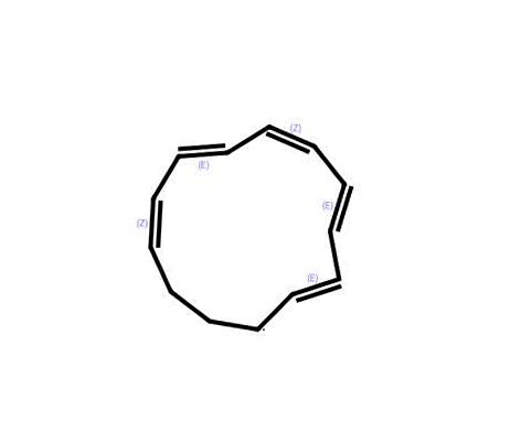 [CH]1/C=C/C=C/C=C\C=C\C=C/CC1